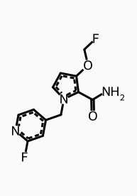 NC(=O)c1c(OCF)ccn1Cc1ccnc(F)c1